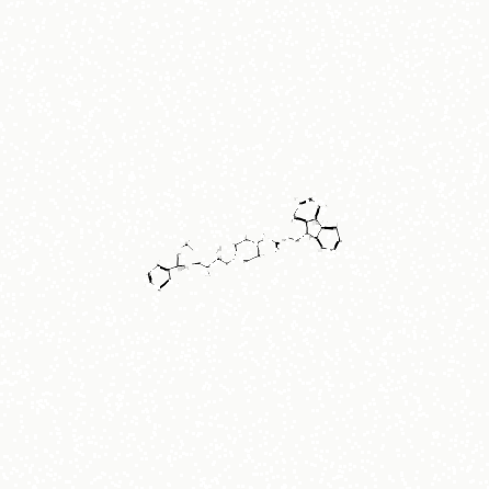 O=C(NC1CCN(C[C@H](O)[C@@H](O)[C@H]2CCOC(c3ccccc3)O2)CC1)OCC1c2ccccc2-c2ccccc21